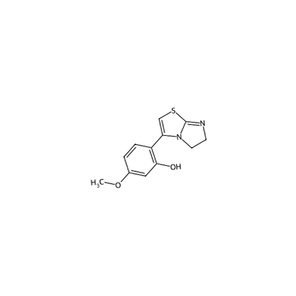 COc1ccc(C2=CSC3=NCCN23)c(O)c1